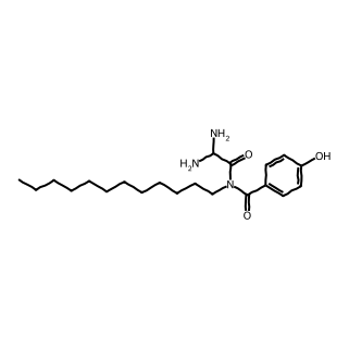 CCCCCCCCCCCCN(C(=O)c1ccc(O)cc1)C(=O)C(N)N